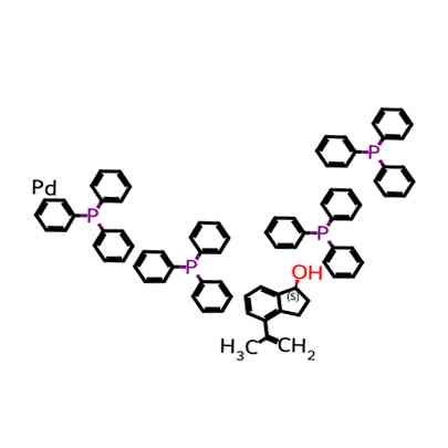 C=C(C)c1cccc2c1CC[C@@H]2O.[Pd].c1ccc(P(c2ccccc2)c2ccccc2)cc1.c1ccc(P(c2ccccc2)c2ccccc2)cc1.c1ccc(P(c2ccccc2)c2ccccc2)cc1.c1ccc(P(c2ccccc2)c2ccccc2)cc1